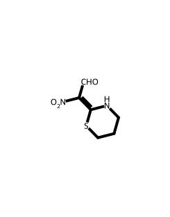 O=C/C(=C1\NCCCS1)[N+](=O)[O-]